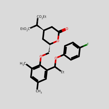 CCOC(=O)C(C(=O)OCC)[C@H]1CC(=O)O[C@H](COc2c(C)cc(C)cc2C(CC)Oc2ccc(F)cc2)C1